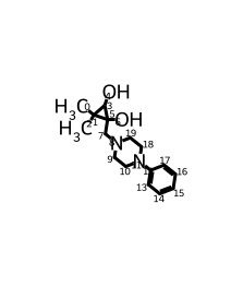 CC1(C)C(O)C1(O)CN1CCN(c2ccccc2)CC1